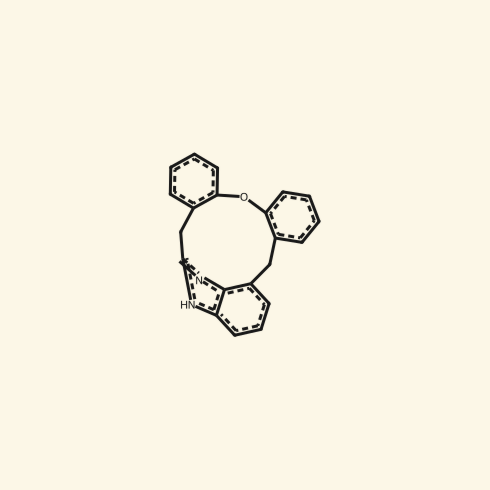 c1ccc2c(c1)Cc1nc3c(cccc3[nH]1)Cc1ccccc1O2